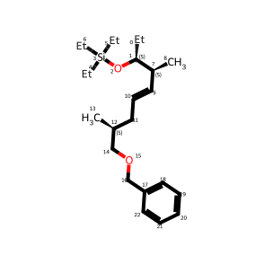 CC[C@H](O[Si](CC)(CC)CC)[C@@H](C)C=CC[C@H](C)COCc1ccccc1